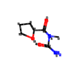 CN(C(N)=O)C(=O)C1CCCO1